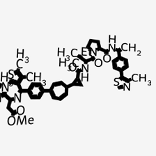 C=C(NC(=O)C1CCCN1C(=O)C(NC(=O)C1CC1C1C=CC=C(c2ccc(C3=NC(CC(=O)OC)c4nnc(C)n4-c4sc(C)c(C)c43)cc2)C=C1)C(C)(C)CC)c1ccc(-c2scnc2C)cc1